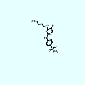 NS(=O)(=O)c1ccc(Nc2ncc(Br)c(NCCCCO)n2)cc1